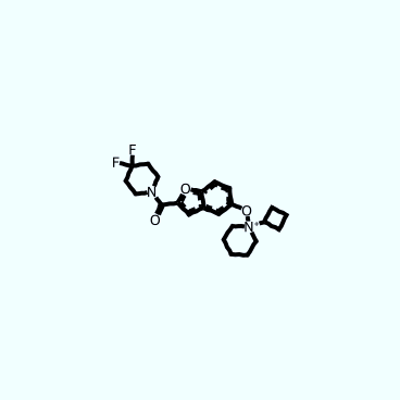 O=C(c1cc2cc(O[N+]3(C4CCC4)CCCCC3)ccc2o1)N1CCC(F)(F)CC1